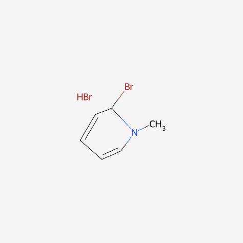 Br.CN1C=CC=CC1Br